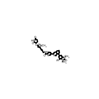 CC(C)c1cc(-c2cccc3cc(-c4ccc(C(=O)NCC#Cc5cc(OC6CCC(=O)NC6=O)nn5C)nc4)ncc23)cc2c1n(C)c(=O)n2C